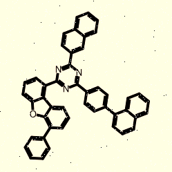 c1ccc(-c2cccc3c2oc2cccc(-c4nc(-c5ccc(-c6cccc7ccccc67)cc5)nc(-c5ccc6ccccc6c5)n4)c23)cc1